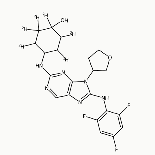 [2H]C1C(Nc2ncc3nc(Nc4c(F)cc(F)cc4F)n(C4CCOC4)c3n2)C([2H])C([2H])([2H])C([2H])(O)C1[2H]